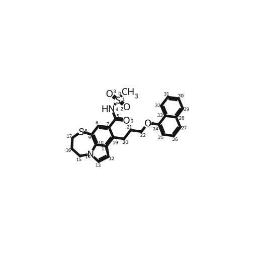 CS(=O)(=O)NC(=O)c1cc2c3c(ccn3CCCS2)c1CCCOc1cccc2ccccc12